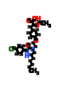 CCCCCCCN(CCOc1ccc(CC(OCC)C(=O)O)cc1)C(=O)Nc1ccc(Cl)cc1